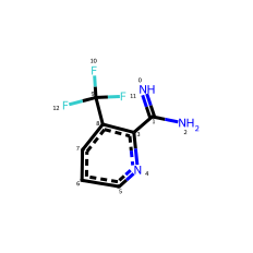 N=C(N)c1ncccc1C(F)(F)F